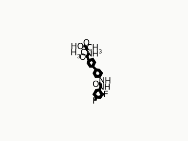 CC(C)(NC(=O)c1ccc(-c2ccc(NC(=O)Nc3ccc(F)cc3F)cc2)cc1)C(=O)O